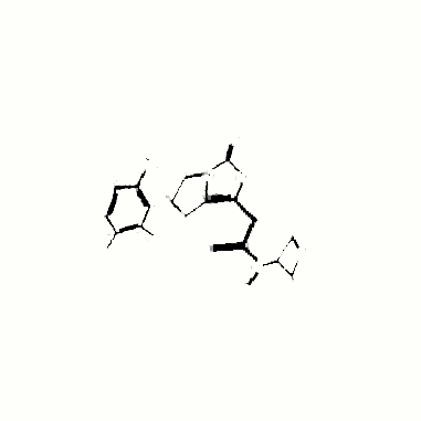 CN(C(=O)Cc1[nH]c(=S)n2c1C[C@H](c1c(F)ccc(F)c1F)C2)C1COC1